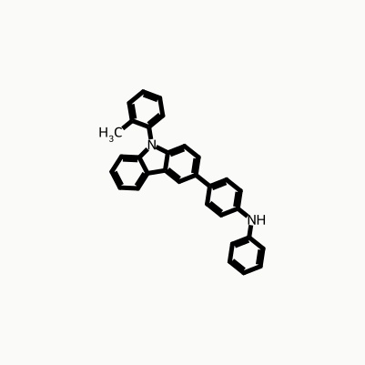 Cc1ccccc1-n1c2ccccc2c2cc(-c3ccc(Nc4ccccc4)cc3)ccc21